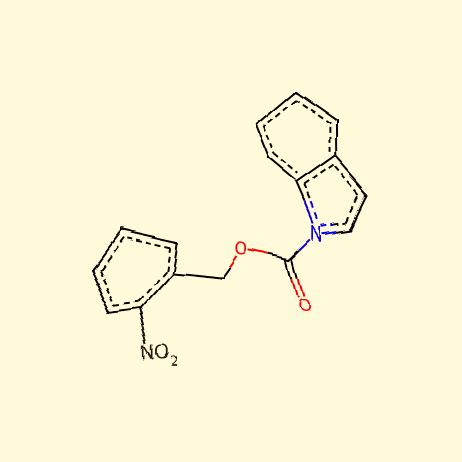 O=C(OCc1ccccc1[N+](=O)[O-])n1ccc2ccccc21